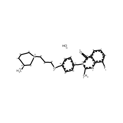 Cc1nc2c(F)cccc2c(=O)n1-c1ccc(OCCCN2CCC[C@H](C)C2)cc1.Cl